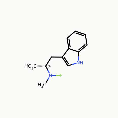 CN(F)[C@@H](Cc1c[nH]c2ccccc12)C(=O)O